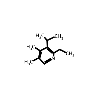 CCc1ncc(C)c(C)c1C(C)C